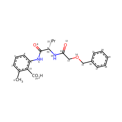 Cc1cccc(NC(=O)[C@@H](NC(=O)COCc2ccccc2)C(C)C)c1C(=O)O